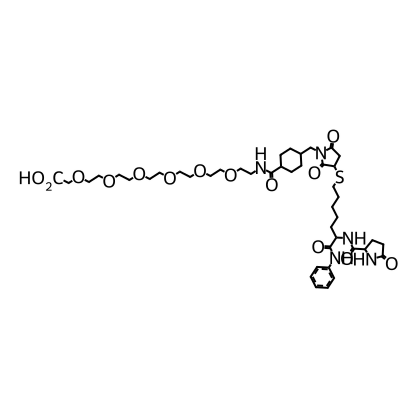 O=C(O)COCCOCCOCCOCCOCCOCCNC(=O)C1CCC(CN2C(=O)CC(SCCCCCC(NC(=O)C3CCC(=O)N3)C(=O)Nc3ccccc3)C2=O)CC1